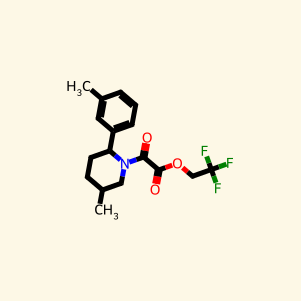 Cc1cccc(C2CCC(C)CN2C(=O)C(=O)OCC(F)(F)F)c1